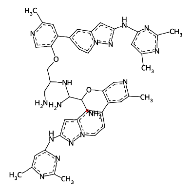 Cc1cc(-c2ccn3nc(Nc4cc(C)nc(C)n4)cc3c2)c(OCC(CN)NC(N)C(CN)Oc2cnc(C)cc2-c2ccn3nc(Nc4cc(C)nc(C)n4)cc3c2)cn1